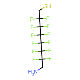 NCC(F)(F)C(F)(F)C(F)(F)C(F)(F)C(F)(F)C(F)(F)CS